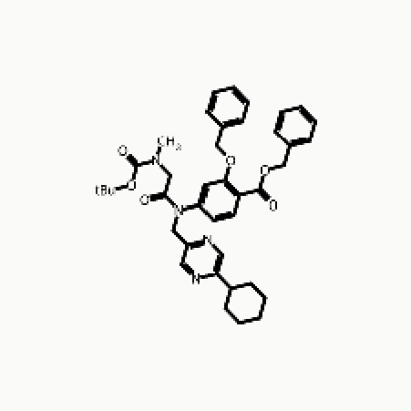 CN(CC(=O)N(Cc1cnc(C2CCCCC2)cn1)c1ccc(C(=O)OCc2ccccc2)c(OCc2ccccc2)c1)C(=O)OC(C)(C)C